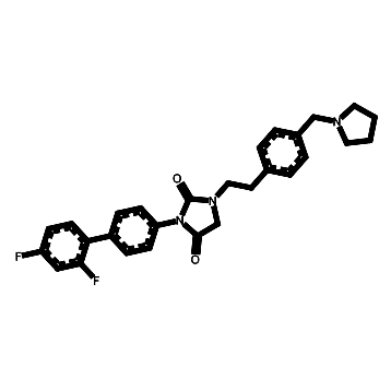 O=C1CN(CCc2ccc(CN3CCCC3)cc2)C(=O)N1c1ccc(-c2ccc(F)cc2F)cc1